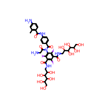 Cc1cc(N)ccc1C(=O)Nc1ccc(C(=O)N(C(=O)CN)c2c(I)c(C(=O)NCC(O)C(O)C(O)C(O)CO)c(I)c(C(=O)NCC(O)C(O)C(O)C(O)CO)c2I)cc1